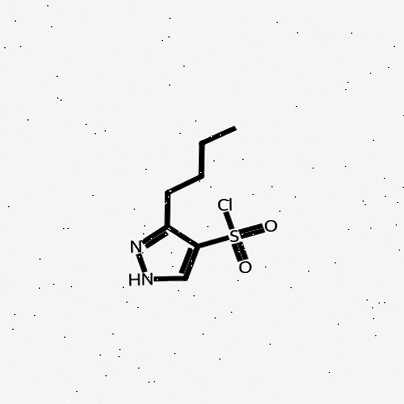 CCCCc1n[nH]cc1S(=O)(=O)Cl